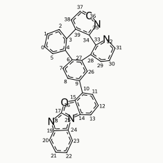 c1ccc2c(c1)-c1ccc(-c3cccc4c3oc3nc5ccccc5n34)cc1-c1cccnc1-c1ncccc1-2